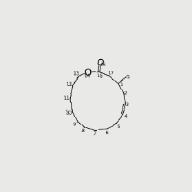 CC1CC=CCCCCCCCCCOC(=O)C1